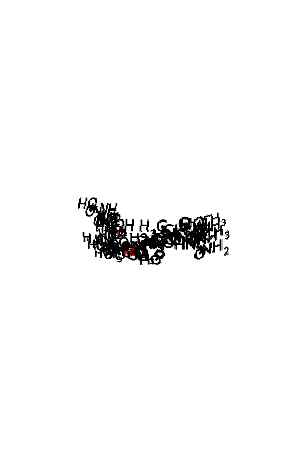 CC(C)C[C@H](NC(=O)[C@H](Cc1ccc(O)cc1)NC(=O)[C@H](CS)NC(=O)[C@H](CO)NC(=O)[C@@H](NC(=O)[C@H](CC(=O)O)NC(=O)[C@H](CO)NC(=O)[C@@H](NC(=O)[C@H](Cc1ccccc1)NC(=O)[C@@H](NC(=O)CNC(=O)[C@@H](N)CCC(=O)O)[C@@H](C)O)[C@@H](C)O)C(C)C)C(=O)N[C@@H](CCC(=O)O)C(=O)NCC(=O)N[C@@H](CCC(N)=O)C(=O)N[C@@H](C)C(=O)N[C@@H](C)C(=O)O